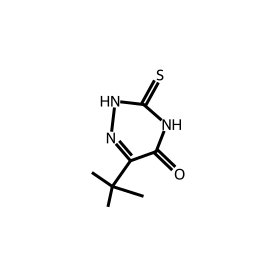 CC(C)(C)c1n[nH]c(=S)[nH]c1=O